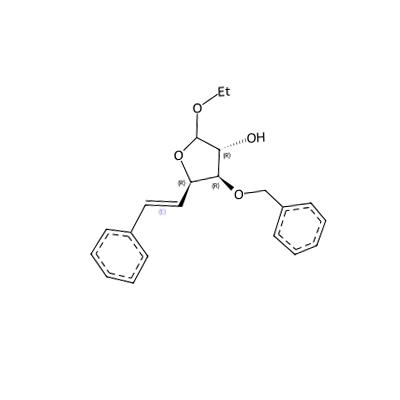 CCOC1O[C@H](/C=C/c2ccccc2)[C@H](OCc2ccccc2)[C@H]1O